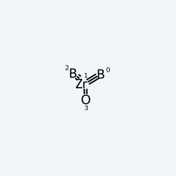 [B]#[Zr](#[B])=[O]